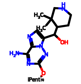 CCC[C@H](C)Oc1nc(N)c2ncc(C(O)C3CCNCC3(C)C)n2n1